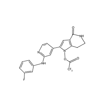 O=C1NCCc2c1cc(-c1ccnc(Nc3cccc(F)c3)c1)n2OC(=O)C(F)(F)F